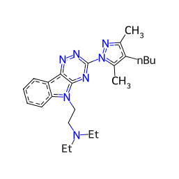 CCCCc1c(C)nn(-c2nnc3c4ccccc4n(CCN(CC)CC)c3n2)c1C